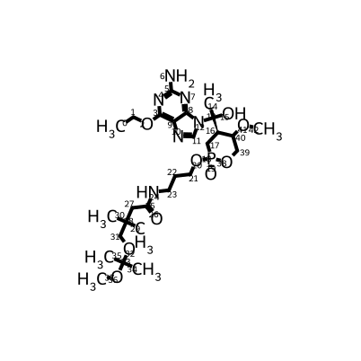 CCOc1nc(N)nc2c1ncn2C(C)(O)[C@@H]1CP(=O)(OCCCNC(=O)CC(C)(C)COC(C)(C)OC)OCC1OC